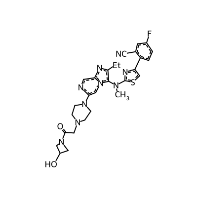 CCc1nc2cnc(N3CCN(CC(=O)N4CC(O)C4)CC3)cn2c1N(C)c1nc(-c2ccc(F)cc2C#N)cs1